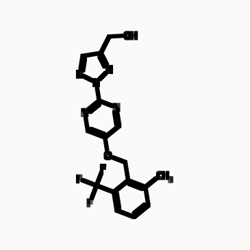 Cc1cccc(C(F)(F)F)c1COc1cnc(-n2ncc(CO)n2)nc1